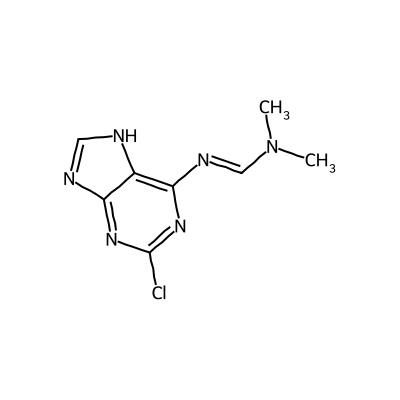 CN(C)C=Nc1nc(Cl)nc2nc[nH]c12